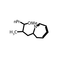 CCCC(OC)C(C)CC1CC=C=CC=N1